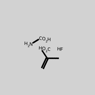 C=C(C)C(=O)O.F.NC(=O)O